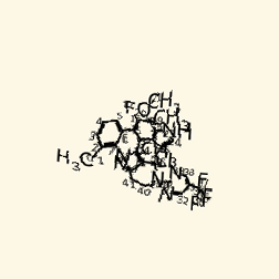 CCc1cccc2c1-n1nc3c(c1C1(C)C2=C(F)C(C)(OC)c2[nH]cc(Cl)c21)CN(c1ncc(C(F)(F)F)cn1)CC3